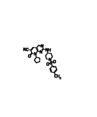 Cc1ccc(S(=O)(=O)N2CCC(Nc3ncc4cc(C#N)c(=O)n(C5CCCC5)c4n3)CC2)cc1